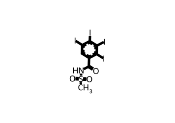 CS(=O)(=O)NC(=O)c1cc(I)c(I)c(I)c1I